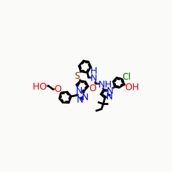 CCC(C)(C)c1cc(NC(=O)NCc2ccccc2Sc2ccc3nnc(-c4cccc(OCCO)c4)n3c2)n(-c2ccc(Cl)c(O)c2)n1